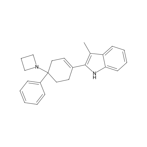 Cc1c(C2=CCC(c3ccccc3)(N3CCC3)CC2)[nH]c2ccccc12